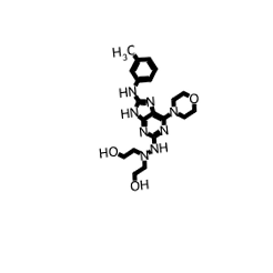 Cc1cccc(Nc2nc3c(N4CCOCC4)nc(NN(CCO)CCO)nc3[nH]2)c1